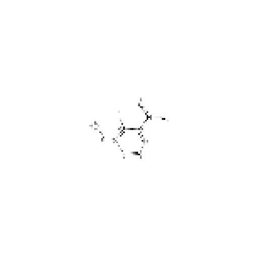 O=[N+]([O-])c1cccc(CO)c1I